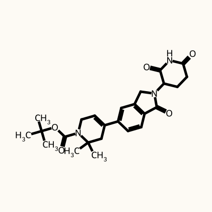 CC(C)(C)OC(=O)N1CC=C(c2ccc3c(c2)CN(C2CCC(=O)NC2=O)C3=O)CC1(C)C